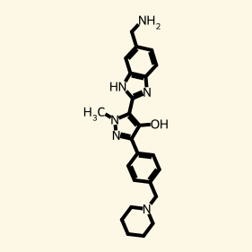 Cn1nc(-c2ccc(CN3CCCCC3)cc2)c(O)c1-c1nc2ccc(CN)cc2[nH]1